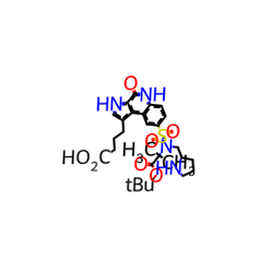 CC(C)(C)OC(=O)C(C)(C)N(CC1CCCN1)S(=O)(=O)c1ccc2[nH]c(=O)c3[nH]cc(CCCC(=O)O)c3c2c1